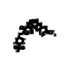 CCn1nc(C(=O)NC[C@H]2CC[C@H](S(C)(=O)=O)CC2)c(Cl)c1-c1ccc(CC(C(F)(F)F)C(F)(F)F)cc1OC